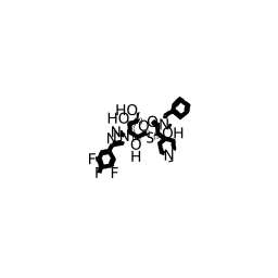 CN1CCC(O)([C@H](S[C@@H]2O[C@H](CO)[C@H](O)[C@H](n3cc(-c4cc(F)c(F)c(F)c4)nn3)[C@H]2O)C(=O)N(C)Cc2ccccc2)CC1